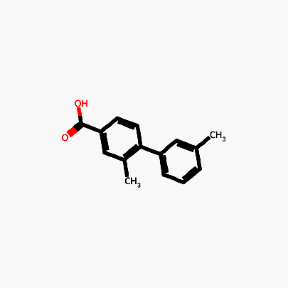 Cc1cccc(-c2ccc(C(=O)O)cc2C)c1